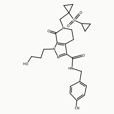 N#Cc1ccc(CNC(=O)c2nn(CCCO)c3c2CCN(CC2(S(=O)(=O)C4CC4)CC2)C3=O)cc1